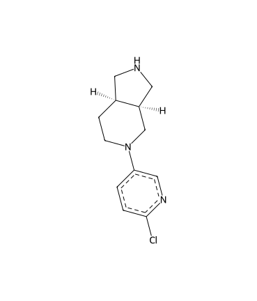 Clc1ccc(N2CC[C@H]3CNC[C@H]3C2)cn1